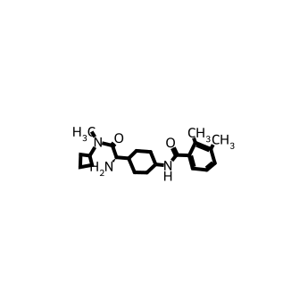 Cc1cccc(C(=O)NC2CCC([C@H](N)C(=O)N(C)C3CCC3)CC2)c1C